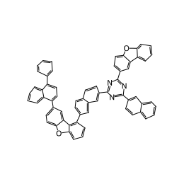 c1ccc(-c2ccc(-c3ccc4oc5cccc(-c6ccc7ccc(-c8nc(-c9ccc%10ccccc%10c9)nc(-c9ccc%10oc%11ccccc%11c%10c9)n8)cc7c6)c5c4c3)c3ccccc23)cc1